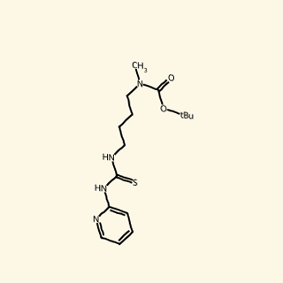 CN(CCCCNC(=S)Nc1ccccn1)C(=O)OC(C)(C)C